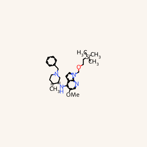 COc1cnc2c(ccn2COCC[Si](C)(C)C)c1N[C@H]1CN(Cc2ccccc2)CC[C@H]1C